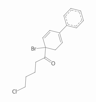 O=C(CCCCCl)C1(Br)C=CC(c2ccccc2)=CC1